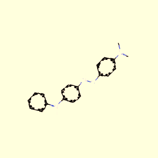 CN(C)c1ccc(NNc2ccc(Nc3ccccc3)cc2)cc1